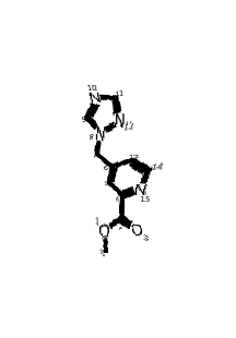 COC(=O)c1cc(Cn2cncn2)ccn1